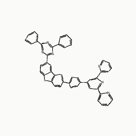 c1ccc(-c2nc(-c3ccccc3)nc(-c3ccc4sc5ccc(-c6ccc(-c7cc(-c8ccccn8)nc(-c8ccccn8)c7)cc6)cc5c4c3)n2)cc1